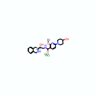 CCOc1nc(N2CCC(O)CC2)ccc1C(=O)NC[C@@H](O)[C@@H]1Cc2ccccc2CN1.Cl.Cl